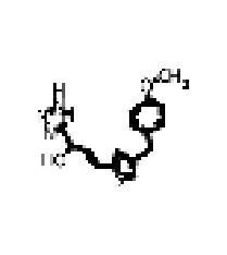 COc1ccc(Cc2csc(C=CC(O)c3nn[nH]n3)c2)cc1